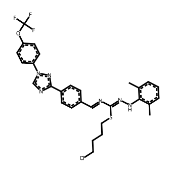 Cc1cccc(C)c1NN=C(N=Cc1ccc(-c2ncn(-c3ccc(OC(F)(F)F)cc3)n2)cc1)SCCCCCl